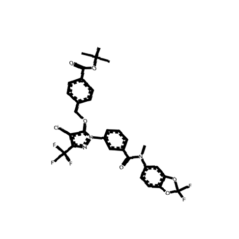 CN(C(=O)c1cccc(-n2nc(C(F)(F)F)c(Cl)c2OCc2ccc(C(=O)OC(C)(C)C)cc2)c1)c1ccc2c(c1)OC(F)(F)O2